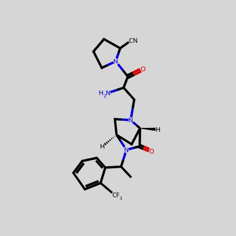 CC(c1ccccc1C(F)(F)F)N1C(=O)[C@@H]2C[C@@H]1CN2CC(N)C(=O)N1CCCC1C#N